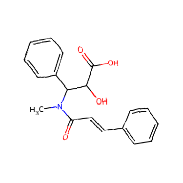 CN(C(=O)C=Cc1ccccc1)C(c1ccccc1)C(O)C(=O)O